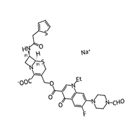 CCn1cc(C(=O)OCC2=C(C(=O)[O-])N3C[C@@H](NC(=O)Cc4cccs4)[C@H]3SC2)c(=O)c2cc(F)c(N3CCN(C=O)CC3)cc21.[Na+]